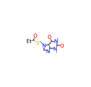 CCC(=O)SCn1cnc2c1c(=O)n(C)c(=O)n2C